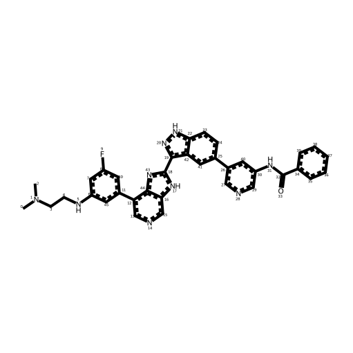 CN(C)CCNc1cc(F)cc(-c2cncc3[nH]c(-c4n[nH]c5ccc(-c6cncc(NC(=O)c7ccccc7)c6)cc45)nc23)c1